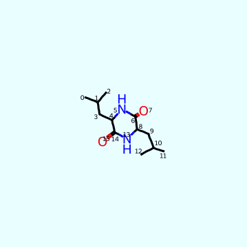 CC(C)CC1NC(=O)C(CC(C)C)NC1=O